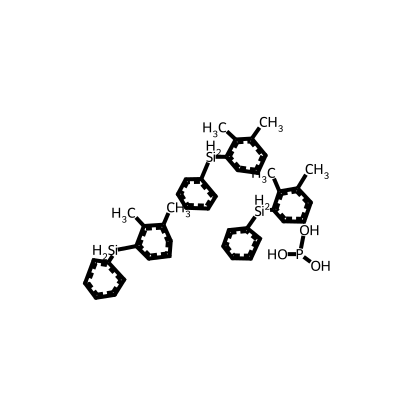 Cc1cccc([SiH2]c2ccccc2)c1C.Cc1cccc([SiH2]c2ccccc2)c1C.Cc1cccc([SiH2]c2ccccc2)c1C.OP(O)O